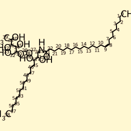 CCCCCCCC/C=C\CCCCCCCCCCCCCC(=O)N[C@@H](COCOC(CO)C(O)C(O)C(C)O)C(O)[C@H](O)CCCCCCCCCCCCCC